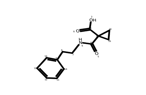 O=C(O)C1(C(=O)NCCc2ccccc2)CC1